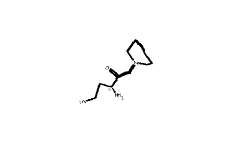 N[C@@H](CCS)C(=O)CN1CCCC1